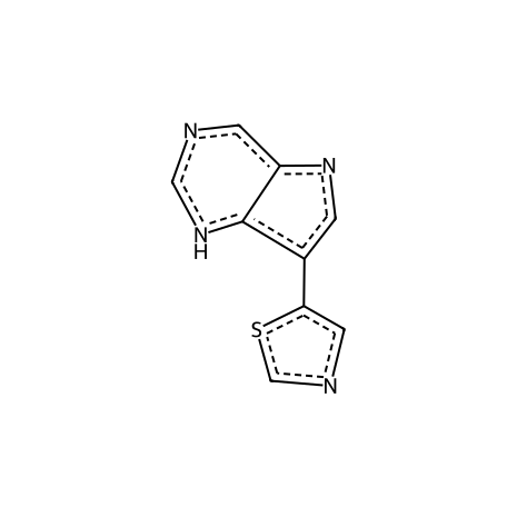 c1ncc2ncc(-c3cncs3)c-2[nH]1